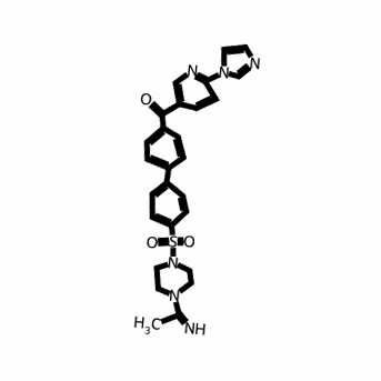 CC(=N)N1CCN(S(=O)(=O)c2ccc(-c3ccc(C(=O)c4ccc(-n5ccnc5)nc4)cc3)cc2)CC1